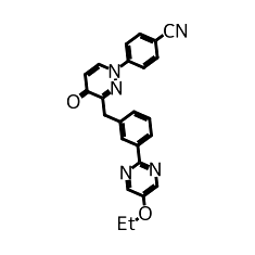 CCOc1cnc(-c2cccc(Cc3nn(-c4ccc(C#N)cc4)ccc3=O)c2)nc1